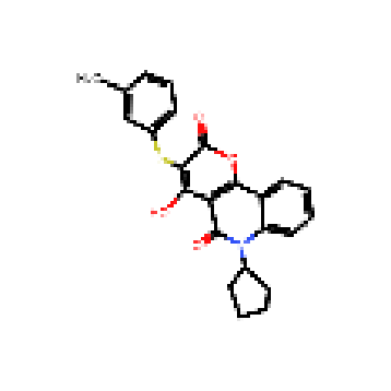 Cc1cccc(Sc2c(O)c3c(=O)n(C4CCCC4)c4ccccc4c3oc2=O)c1